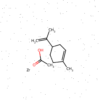 C=C(C)C1CC=C(C)CC1.CC(=O)O.[Zr]